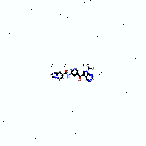 CC(C)n1cc(C(=O)c2cncc(NC(=O)c3ccn4ccnc4c3)c2)c2cncnc21